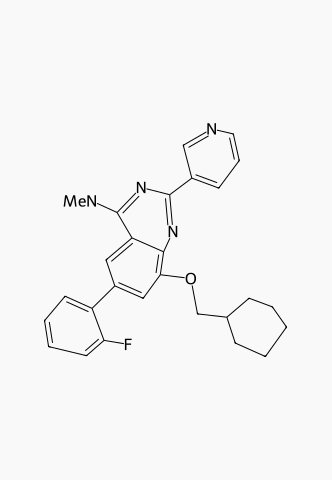 CNc1nc(-c2cccnc2)nc2c(OCC3CCCCC3)cc(-c3ccccc3F)cc12